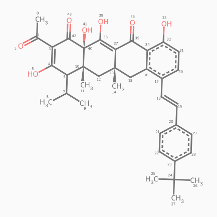 CC(=O)C1=C(O)C(C(C)C)[C@@]2(C)C[C@@]3(C)Cc4c(/C=C/c5ccc(C(C)(C)C)cc5)ccc(O)c4C(=O)C3=C(O)[C@@]2(O)C1=O